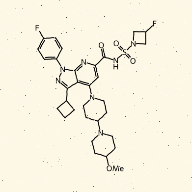 COC1CCN(C2CCN(c3cc(C(=O)NS(=O)(=O)N4CC(F)C4)nc4c3c(C3CCC3)nn4-c3ccc(F)cc3)CC2)CC1